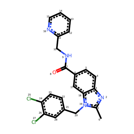 Cc1nc2ccc(C(=O)NCc3ccccn3)cc2n1Cc1ccc(Cl)c(Cl)c1